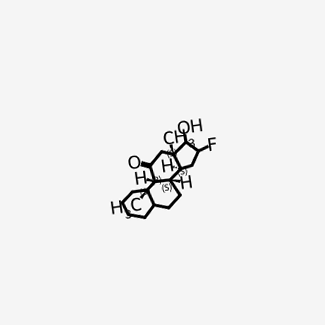 C[C@]12CCCCC1CC[C@@H]1[C@H]2C(=O)C[C@]2(C)C(O)C(F)C[C@@H]12